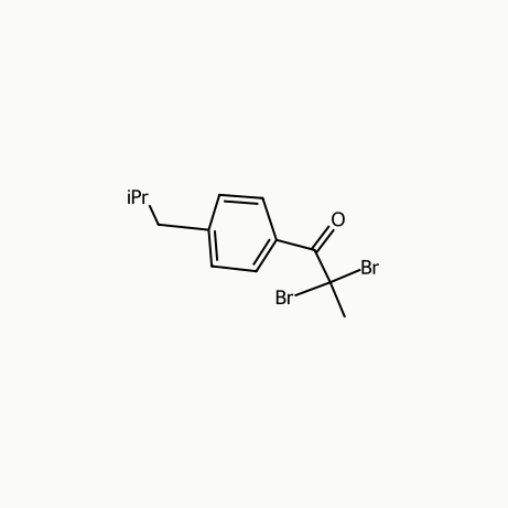 CC(C)Cc1ccc(C(=O)C(C)(Br)Br)cc1